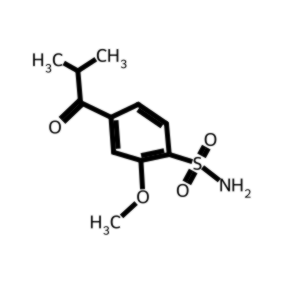 COc1cc(C(=O)C(C)C)ccc1S(N)(=O)=O